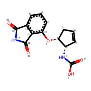 O=C(O)N[C@H]1C=CC[C@H]1Oc1cccc2c1C(=O)NC2=O